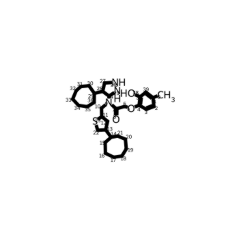 Cc1ccc(OCC(=O)N(CC2CC(C3CCCCCCC3)CS2)C2NNCC2C2CCCCCCC2)c(O)c1